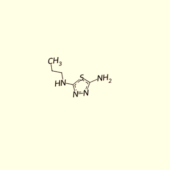 CCCNc1nnc(N)s1